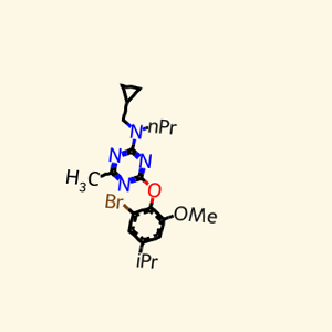 CCCN(CC1CC1)c1nc(C)nc(Oc2c(Br)cc(C(C)C)cc2OC)n1